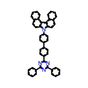 c1ccc(-c2nc(-c3ccccc3)nc(-c3ccc(-c4ccc(-n5c6ccc7ccccc7c6c6c7ccccc7ccc65)cc4)cc3)n2)cc1